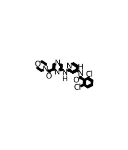 O=C(Nc1ccnc(Nc2cncc(C(=O)N3CCOCC3)n2)c1)c1c(Cl)cccc1Cl